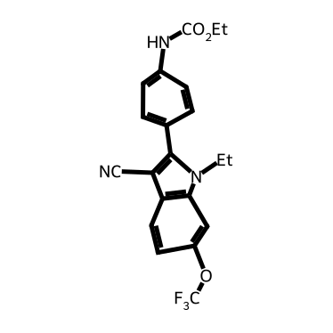 CCOC(=O)Nc1ccc(-c2c(C#N)c3ccc(OC(F)(F)F)cc3n2CC)cc1